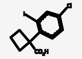 O=C(O)C1(c2ccc(Cl)cc2I)CCC1